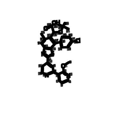 COc1ncccc1-c1cc(-c2nc3cc(C)c(C(OC(C)(C)C)C(=O)O)c(-c4ccc(Cl)cc4)c3s2)ccn1